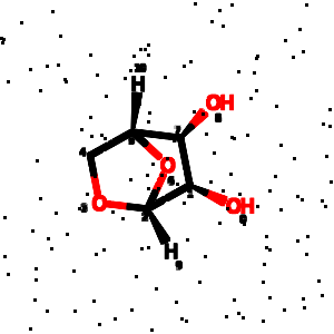 O[C@H]1[C@@H]2OC[C@@H](O2)[C@H]1O